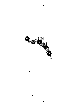 N#Cc1cc(NC(=O)c2ccn(-c3ccc(Cl)cc3)c2)ccc1OC1CCN(Cc2ccccc2)C1